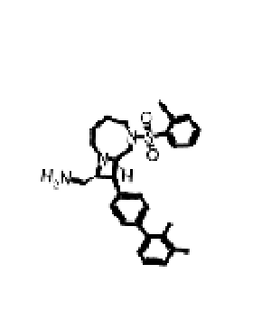 Cc1ccccc1S(=O)(=O)N1CCCCN2[C@H](CN)C(c3ccc(-c4cccc(C)c4C)cc3)[C@@H]2C1